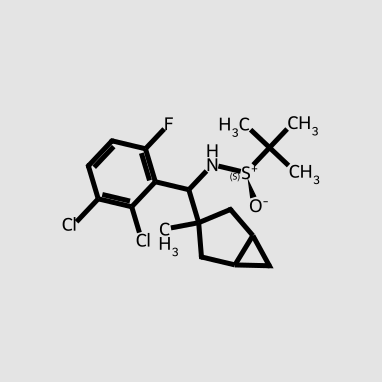 CC1(C(N[S@+]([O-])C(C)(C)C)c2c(F)ccc(Cl)c2Cl)CC2CC2C1